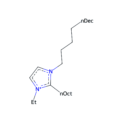 CCCCCCCCCCCCCCn1cc[n+](CC)c1CCCCCCCC